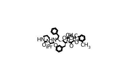 Cc1cccc(C)c1OCC(=O)N1[C@@H](Cc2ccccc2)[C@H](C[C@H](Cc2ccccc2)NC(=O)[C@H](C(C)C)N2CCCNC2=O)OC1(C)C